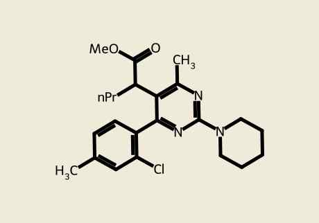 CCCC(C(=O)OC)c1c(C)nc(N2CCCCC2)nc1-c1ccc(C)cc1Cl